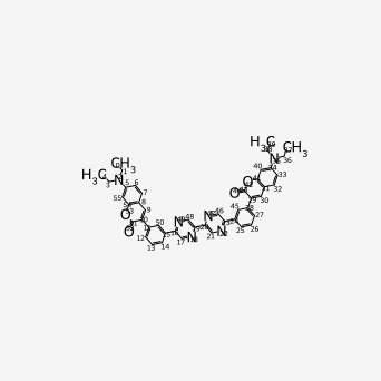 CCN(CC)c1ccc2cc(-c3cccc(-c4cnc(-c5cnc(-c6cccc(-c7cc8ccc(N(CC)CC)cc8oc7=O)c6)cn5)cn4)c3)c(=O)oc2c1